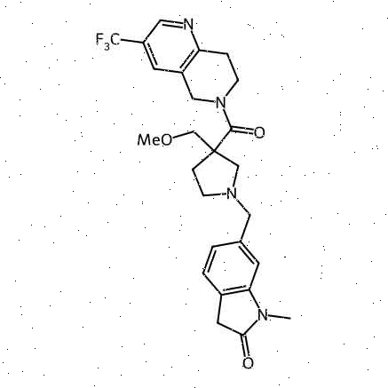 COCC1(C(=O)N2CCc3ncc(C(F)(F)F)cc3C2)CCN(Cc2ccc3c(c2)N(C)C(=O)C3)C1